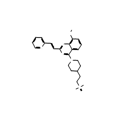 COc1cccc2c(N3CCC(CCP(=O)(O)O)CC3)nc(/C=C/c3ccccn3)nc12